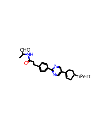 CCCCCC1CC=C(c2cnc(-c3ccc(CCC(=O)NC(C)C=O)cc3)nc2)CC1